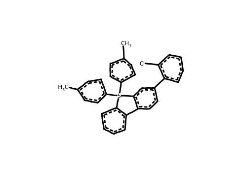 Cc1ccc(S2(c3ccc(C)cc3)c3ccccc3-c3ccc(-c4ccccc4Cl)cc32)cc1